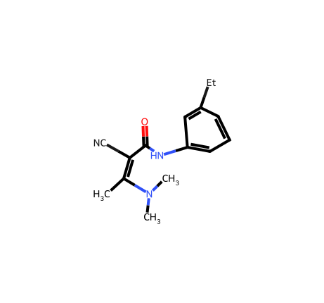 CCc1cccc(NC(=O)C(C#N)=C(C)N(C)C)c1